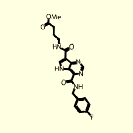 COC(=O)CCCNC(=O)c1c[nH]c2c(C(=O)NCc3ccc(F)cc3)ncnc12